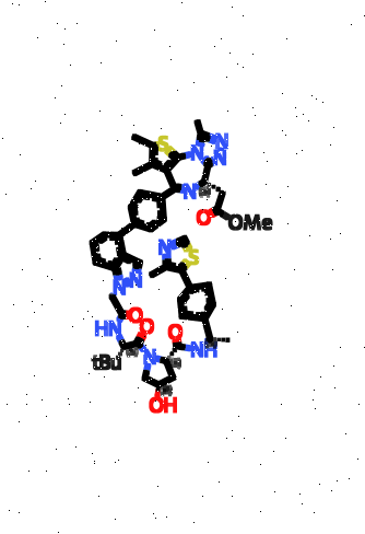 COC(=O)C[C@@H]1N=C(c2ccc(-c3cccc4c3cnn4CC(=O)N[C@H](C(=O)N3C[C@H](O)C[C@H]3C(=O)N[C@@H](C)c3ccc(-c4scnc4C)cc3)C(C)(C)C)cc2)c2c(sc(C)c2C)-n2c(C)nnc21